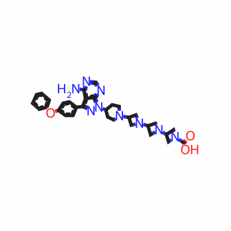 Nc1ncnc2c1c(-c1ccc(Oc3ccccc3)cc1)nn2C1CCN(C2CN(C3CN(C4CN(C(=O)O)C4)C3)C2)CC1